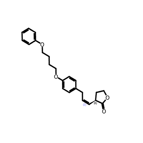 O=C1OCC[C@@H]1/C=C\Cc1ccc(OCCCCOc2ccccc2)cc1